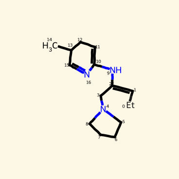 CC/C=C(\CN1CCCC1)NC1=CCC(C)C=N1